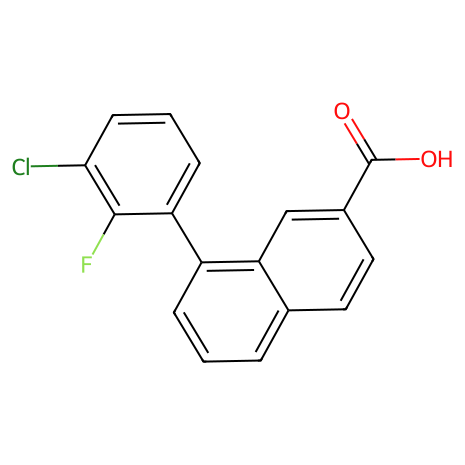 O=C(O)c1ccc2cccc(-c3cccc(Cl)c3F)c2c1